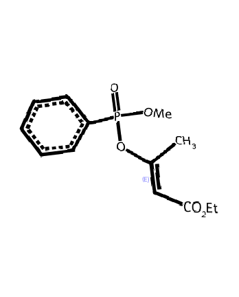 CCOC(=O)/C=C(\C)OP(=O)(OC)c1ccccc1